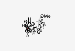 COCCNc1nccc(-c2noc3c(F)c4c(cc23)CC2(C(=O)NC(=O)NC2=O)[C@H]2[C@H](C)O[C@H](C)CN42)n1